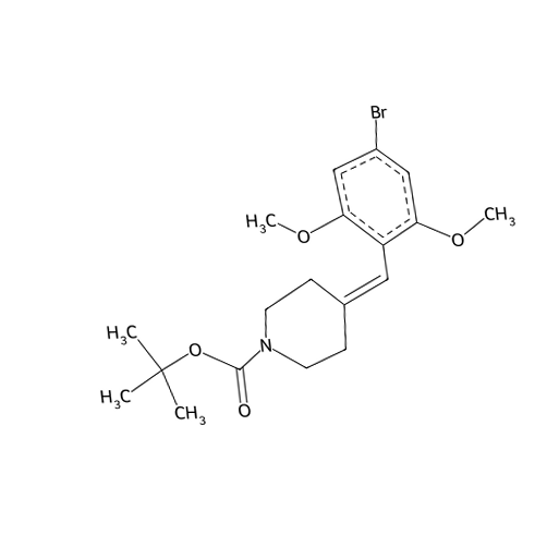 COc1cc(Br)cc(OC)c1C=C1CCN(C(=O)OC(C)(C)C)CC1